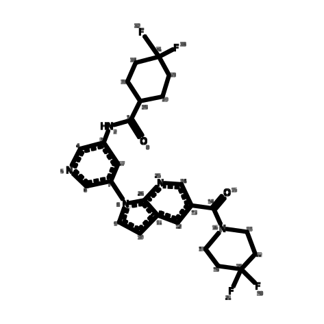 O=C(Nc1cncc(-n2ccc3cc(C(=O)N4CCC(F)(F)CC4)cnc32)c1)C1CCC(F)(F)CC1